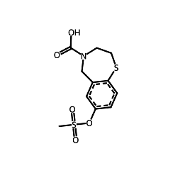 CS(=O)(=O)Oc1ccc2c(c1)CN(C(=O)O)CCS2